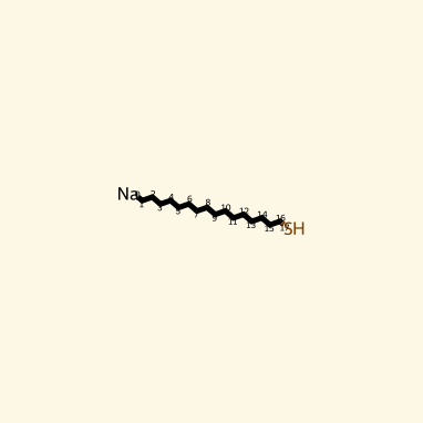 [Na][CH2]CCCCCCCCCCCCCCCS